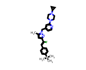 Cc1cc(C(F)=Cc2ccc([Si](C)(C)C)cc2)nn1Cc1ccnc(N2CCN(C3CC3)CC2)c1